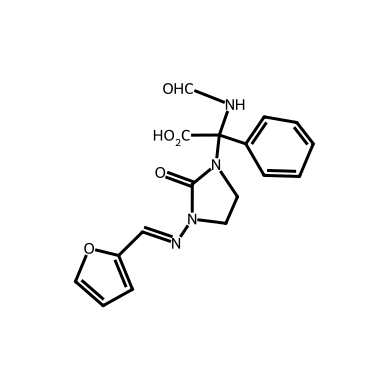 O=CNC(C(=O)O)(c1ccccc1)N1CCN(N=Cc2ccco2)C1=O